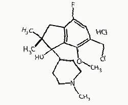 COc1c(CCl)cc(F)c2c1C(O)(C1CCN(C)CC1)C(C)(C)C2.Cl